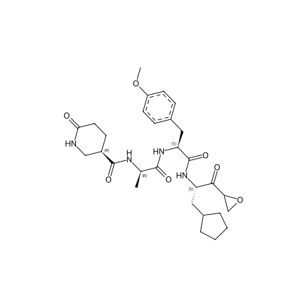 COc1ccc(C[C@H](NC(=O)[C@@H](C)NC(=O)[C@@H]2CCC(=O)NC2)C(=O)N[C@@H](CC2CCCC2)C(=O)C2CO2)cc1